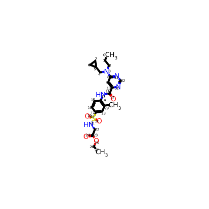 CCCN(CC1CC1)c1cc(C(=O)Nc2ccc(S(=O)(=O)NCC(=O)OCC)cc2C)ncn1